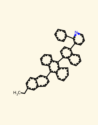 CCc1ccc2cc(-c3c4ccccc4c(-c4ccc(-c5cccnc5-c5ccccc5)c5ccccc45)c4ccccc34)ccc2c1